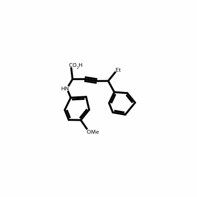 CCC(C#CC(Nc1ccc(OC)cc1)C(=O)O)c1ccccc1